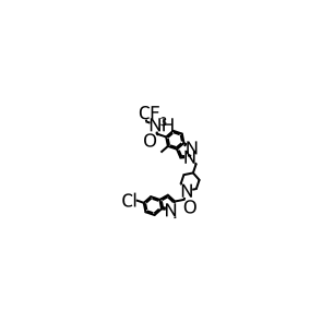 Cc1c(C(=O)NCC(F)(F)F)ccc2nn(CC3CCN(C(=O)c4cc5cc(Cl)ccc5n4C)CC3)cc12